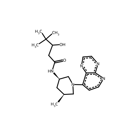 C[C@H]1C[C@@H](NC(=O)CC(O)C(C)(C)C)CN(c2ccnc3nccnc23)C1